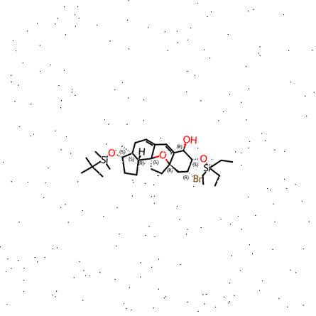 CC[Si](CC)(CC)O[C@@H]1[C@H](Br)C[C@@]23CC[C@@]4(O2)C(=CC[C@]2(C)[C@@H](O[Si](C)(C)C(C)(C)C)CC[C@H]24)C=C3[C@H]1O